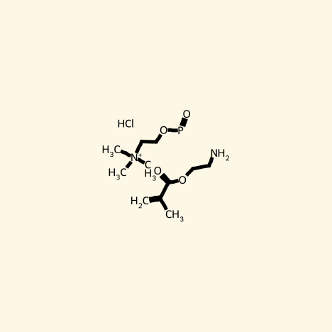 C=C(C)C(=O)OCCN.C[N+](C)(C)CCOP=O.Cl